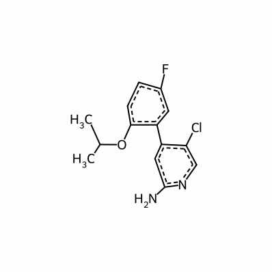 CC(C)Oc1ccc(F)cc1-c1cc(N)ncc1Cl